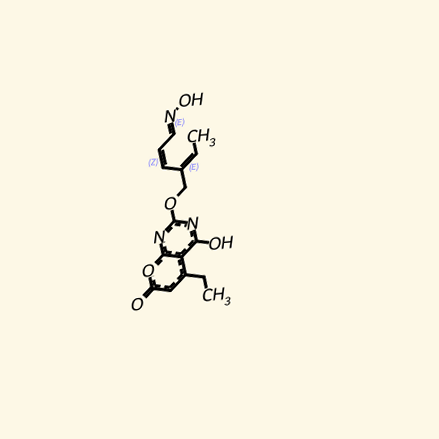 C\C=C(/C=C\C=N\O)COc1nc(O)c2c(CC)cc(=O)oc2n1